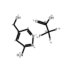 Nc1cc(CO)cnn1.O=C(O)C(F)(F)F